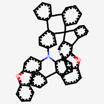 c1ccc(-c2ccccc2N(c2ccc3c(c2)C2(c4ccccc4-c4ccccc4-3)c3ccccc3-c3c2ccc2c3oc3ccccc32)c2ccc3oc4ccccc4c3c2)cc1